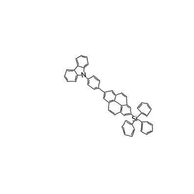 c1ccc([Si](c2ccccc2)(c2ccccc2)c2cc3ccc4cc(-c5ccc(-n6c7ccccc7c7ccccc76)cc5)cc5ccc(c2)c3c45)cc1